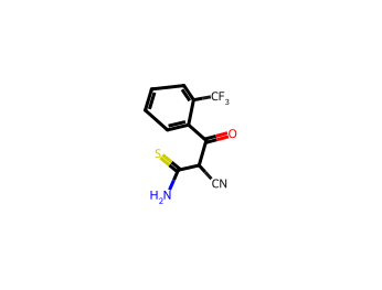 N#CC(C(=O)c1ccccc1C(F)(F)F)C(N)=S